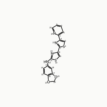 c1ccc(-c2csc(-c3csc(Nc4ccc5c(c4)OCO5)n3)n2)nc1